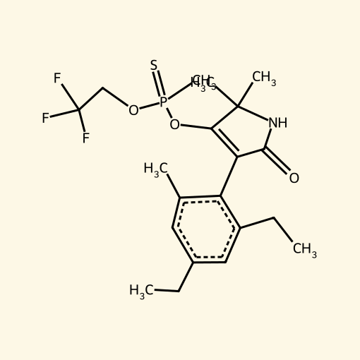 CCc1cc(C)c(C2=C(OP(C)(=S)OCC(F)(F)F)C(C)(C)NC2=O)c(CC)c1